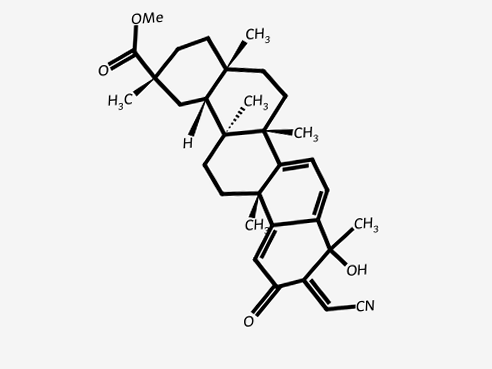 COC(=O)[C@]1(C)CC[C@]2(C)CC[C@]3(C)C4=CC=C5C(=CC(=O)/C(=C/C#N)C5(C)O)[C@]4(C)CC[C@@]3(C)[C@@H]2C1